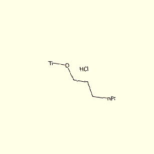 CCCCCC[O][Ti].Cl